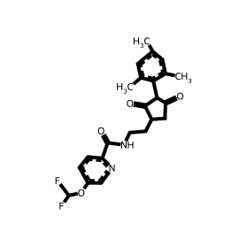 Cc1cc(C)c(C2C(=O)CC(CCNC(=O)c3ccc(OC(F)F)cn3)C2=O)c(C)c1